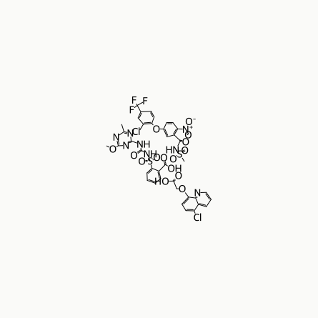 COc1nc(C)nc(NC(=O)NS(=O)(=O)c2ccccc2C(=O)O)n1.CS(=O)(=O)NC(=O)c1cc(Oc2ccc(C(F)(F)F)cc2Cl)ccc1[N+](=O)[O-].O=C(O)COc1ccc(Cl)c2cccnc12